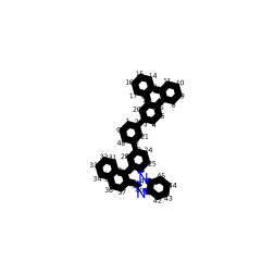 c1cc(-c2ccc3c4ccccc4c4ccccc4c3c2)cc(-c2ccc3c(c2)c2c4ccccc4ccc2c2nc4ccccc4n32)c1